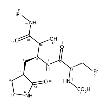 CC(C)C[C@H](NC(=O)O)C(=O)N[C@@H](C[C@@H]1CCNC1=O)C(O)C(=O)NC(C)C